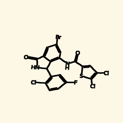 O=C(Nc1cc(Br)cc2c1C(c1cc(F)ccc1Cl)NC2=O)c1cc(Cl)c(Cl)s1